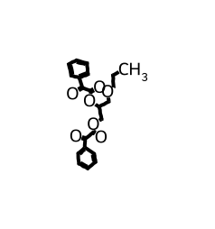 CCCOCC(COC(=O)C(=O)c1ccccc1)OC(=O)C(=O)c1ccccc1